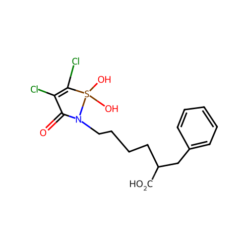 O=C(O)C(CCCCN1C(=O)C(Cl)=C(Cl)S1(O)O)Cc1ccccc1